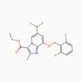 CCOC(=O)c1c(C)nc2c(OCc3c(F)cccc3F)cc(C(F)F)cn12